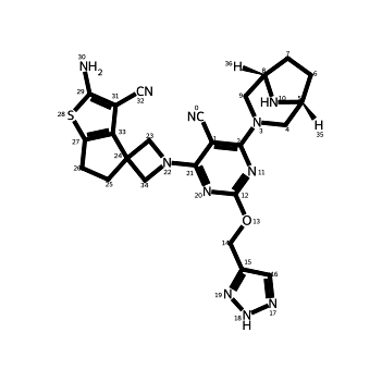 N#Cc1c(N2C[C@H]3CC[C@@H](C2)N3)nc(OCc2cn[nH]n2)nc1N1CC2(CCc3sc(N)c(C#N)c32)C1